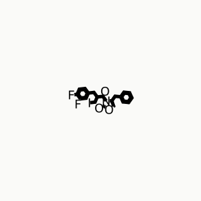 O=C1OCC(Cc2ccccc2)N1C(=O)C(CI)Cc1ccc(F)c(F)c1